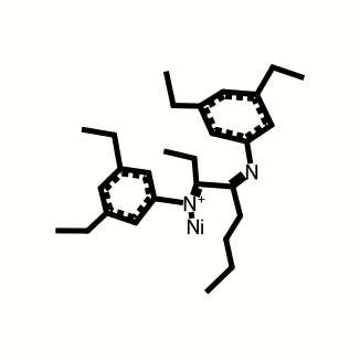 CCCCC(=Nc1cc(CC)cc(CC)c1)C(CC)=[N+]([Ni])c1cc(CC)cc(CC)c1